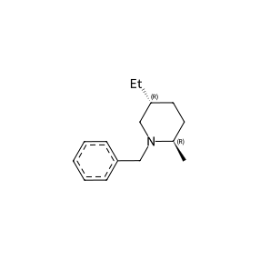 CC[C@@H]1CC[C@@H](C)N(Cc2ccccc2)C1